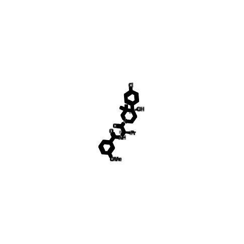 COc1cccc(C(=O)N[C@@H](C(=O)N2CC[C@](O)(c3ccc(Cl)cc3)C(C)(C)C2)C(C)C)c1